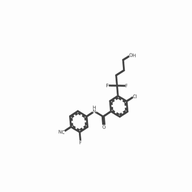 N#Cc1ccc(NC(=O)c2ccc(Cl)c(C(F)(F)CCCO)c2)cc1F